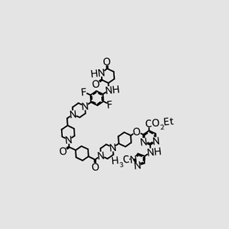 CCOC(=O)c1cnc(Nc2cnn(C)c2)nc1OC1CCC(N2CCN(C(=O)C3CCC(C(=O)N4CCC(CN5CCN(c6cc(F)c(NC7CCC(=O)NC7=O)cc6F)CC5)CC4)CC3)CC2)CC1